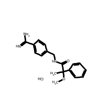 COC(C)(C(=O)NCc1ccc(C(=N)N)cc1)c1ccccc1.Cl